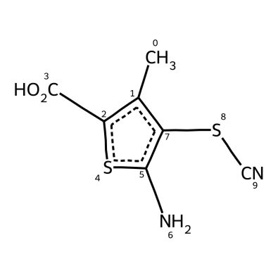 Cc1c(C(=O)O)sc(N)c1SC#N